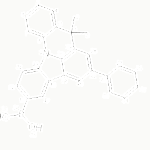 CC1(C)c2ccccc2-n2c3ccc(B(O)O)cc3c3cc(-c4ccccc4)cc1c32